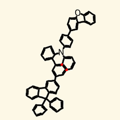 c1ccc(N(c2ccc(-c3ccc4oc5ccccc5c4c3)cc2)c2ccccc2-c2cccc(-c3ccc4c(c3)-c3ccccc3C4(c3ccccc3)c3ccccc3)c2)cc1